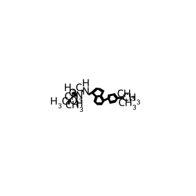 C=C(NCc1cccc2c(-c3ccc(C(C)(C)C)cc3)cccc12)NC(=O)OC(C)(C)C